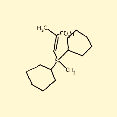 CC(=C[Si](C)(C1CCCCC1)C1CCCCC1)C(=O)O